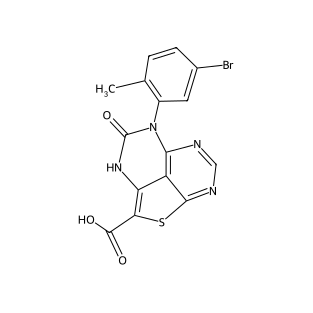 Cc1ccc(Br)cc1N1C(=O)Nc2c(C(=O)O)sc3ncnc1c23